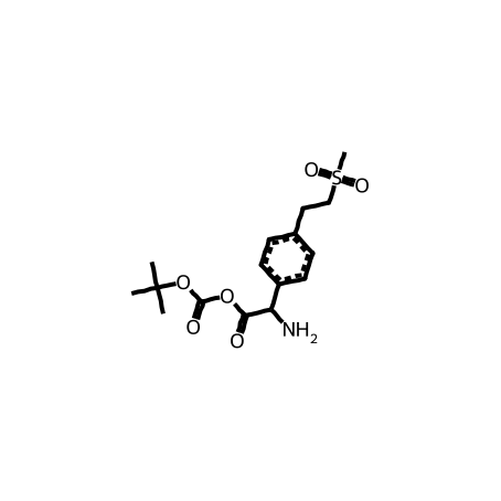 CC(C)(C)OC(=O)OC(=O)C(N)c1ccc(CCS(C)(=O)=O)cc1